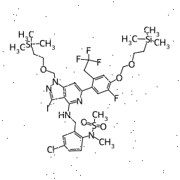 CN(c1ccc(Cl)cc1CNc1nc(-c2cc(F)c(OCOCC[Si](C)(C)C)cc2CC(F)(F)F)cc2c1c(I)nn2COCC[Si](C)(C)C)S(C)(=O)=O